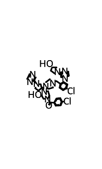 O=C(c1ccc(Cl)cc1)N1CCN(C2(N3CCN(Cc4ccc(Cl)cc4)CC3)CN(c3cnccn3)CC2O)CC1.OC1CCN(c2cnccn2)C1